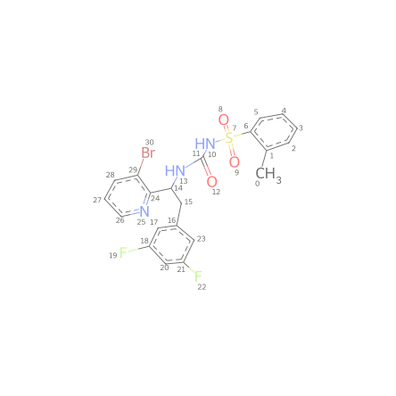 Cc1ccccc1S(=O)(=O)NC(=O)NC(Cc1cc(F)cc(F)c1)c1ncccc1Br